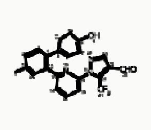 Cc1ccc(C2=CC=C(O)CC2)c(-c2cccc(-n3ncc(C=O)c3C(F)(F)F)n2)c1